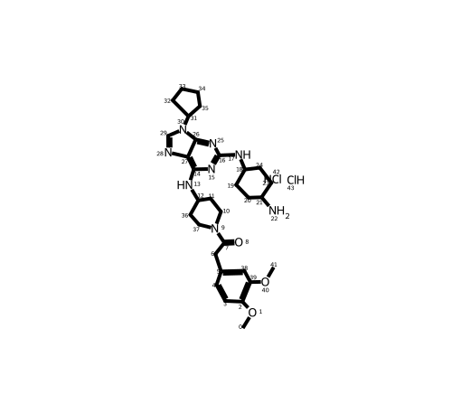 COc1ccc(CC(=O)N2CCC(Nc3nc(NC4CCC(N)CC4)nc4c3ncn4C3CCCC3)CC2)cc1OC.Cl.Cl